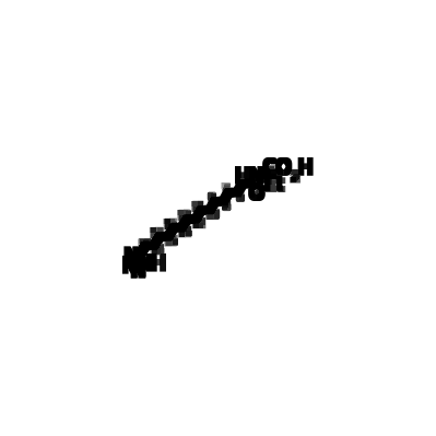 CC[C@H](NC(=O)CCCCCCCCCCCCCCCc1nnn[nH]1)C(=O)O